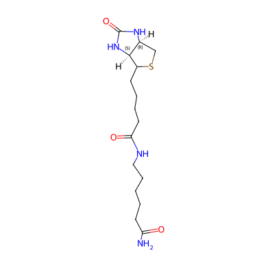 NC(=O)CCCCCNC(=O)CCCCC1SC[C@@H]2NC(=O)N[C@H]12